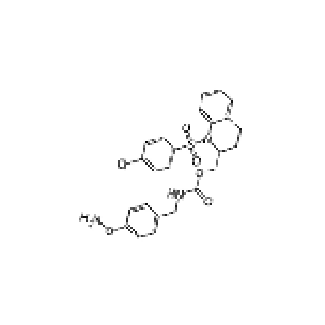 NOc1ccc(CNC(=O)OCC2CCc3ccccc3N2S(=O)(=O)c2ccc(Cl)cc2)cc1